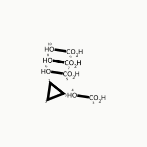 C1CC1.O=C(O)O.O=C(O)O.O=C(O)O.O=C(O)O